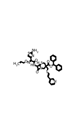 C=CCON=C(C(=O)NC1C(=O)N2CC(CSC=Cc3cccnc3)(C(=O)OC(c3ccccc3)c3ccccc3)CS[C@H]12)c1csc(N)n1